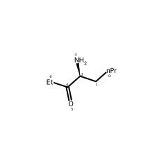 CCCC[C@H](N)C(=O)CC